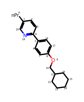 CCCc1ccc(-c2ccc(OCC3CC[CH]CC3)cc2)nc1